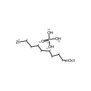 CCCCCCCCCCCCCCC[CH2][Zn].O=P(O)(O)O